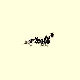 Cn1c(-c2cc3cccc(C=CCn4ccnc4)c3n2CC2CC2)nc2cc3c(cc21)CCN(CC(CF)NC(=O)OC(C)(C)C)C3=O